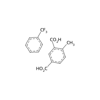 Cc1ccc(C(=O)O)cc1C(=O)O.FC(F)(F)c1ccccc1